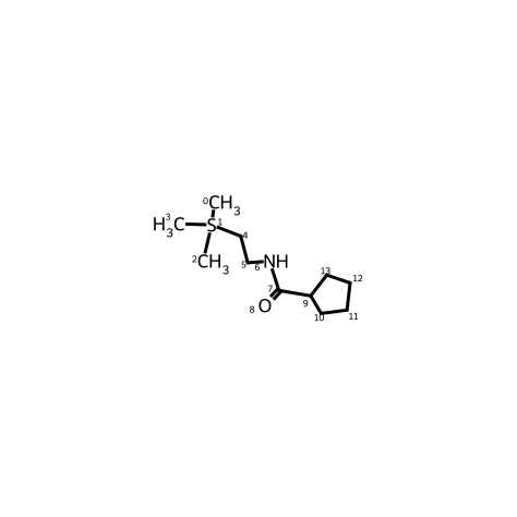 CS(C)(C)CCNC(=O)C1CCCC1